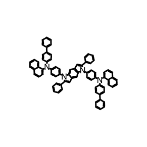 c1ccc(-c2ccc(N(c3ccc(-n4c(-c5ccccc5)cc5cc6c(cc(-c7ccccc7)n6-c6ccc(N(c7ccc(-c8ccccc8)cc7)c7cccc8ccccc78)cc6)cc54)cc3)c3cccc4ccccc34)cc2)cc1